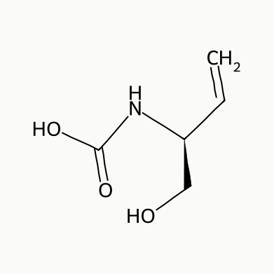 C=C[C@@H](CO)NC(=O)O